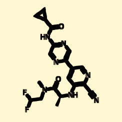 C[C@H](Nc1cc(-c2cnc(NC(=O)C3CC3)cn2)cnc1C#N)C(=O)N(C)CC(F)F